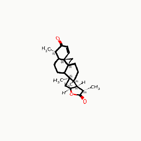 C[C@@H]1C(=O)C=C[C@]23C[C@]24CC[C@]2(C)[C@@H]5[C@H](C[C@@]2(C)C4CCC13)OC(=O)[C@H]5C